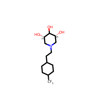 OC1[C@H](O)CN(CCC2CCC(C(F)(F)F)CC2)C[C@@H]1O